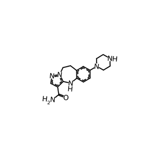 NC(=O)c1cnn2c1Nc1ccc(N3CCNCC3)cc1CC2